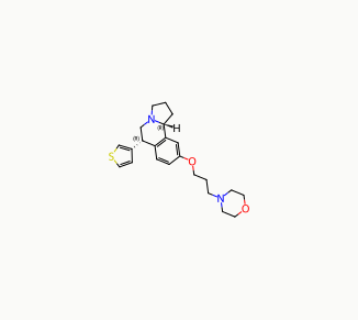 c1cc([C@@H]2CN3CCC[C@@H]3c3cc(OCCCN4CCOCC4)ccc32)cs1